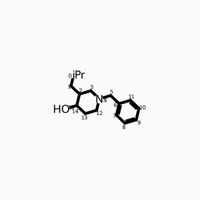 CC(C)CC1CN(Cc2ccccc2)CCC1O